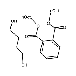 CCCCCCCCOC(=O)c1ccccc1C(=O)OCCCCCCCC.OCCCCO